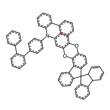 C1=CC2c3ccccc3C3(c4ccccc4-c4c3ccc3c4Oc4cc(N(c5ccc(-c6ccccc6-c6ccccc6)cc5)c5ccccc5-c5ccccc5)ccc4O3)C2C=C1